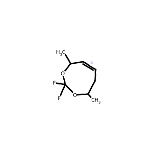 CC1/C=C\CC(C)OC(F)(F)O1